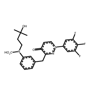 CC(C)(O)CCN(C(=O)O)c1cccc(Cc2nn(-c3cc(F)c(F)c(F)c3)ccc2=O)c1